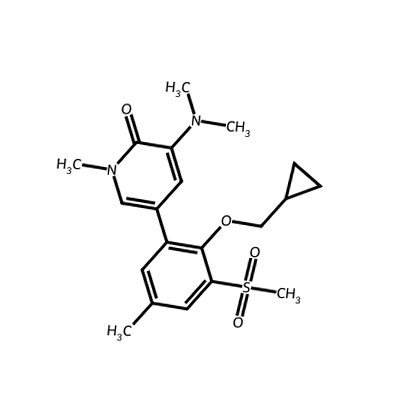 Cc1cc(-c2cc(N(C)C)c(=O)n(C)c2)c(OCC2CC2)c(S(C)(=O)=O)c1